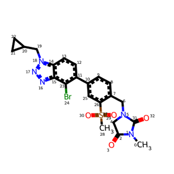 CN1C(=O)CN(Cc2ccc(-c3ccc4c(nnn4CC4CC4)c3Br)cc2S(C)(=O)=O)C1=O